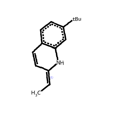 C/C=C1\C=Cc2ccc(C(C)(C)C)cc2N1